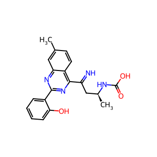 Cc1ccc2c(C(=N)C[C@H](C)NC(=O)O)nc(-c3ccccc3O)nc2c1